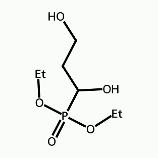 CCOP(=O)(OCC)C(O)CCO